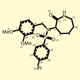 COc1ccc(CN(C2CCCCNC2=O)S(=O)(=O)c2ccc(C(C)C)cc2)cc1OC